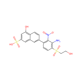 Nc1c(S(=O)(=O)CCO)ccc(-c2ccc3c(O)cc(S(=O)(=O)O)cc3c2)c1[N+](=O)[O-]